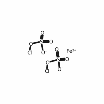 O=S(=O)([O-])OCl.O=S(=O)([O-])OCl.[Fe+2]